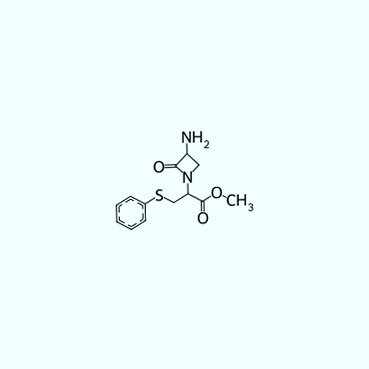 COC(=O)C(CSc1ccccc1)N1CC(N)C1=O